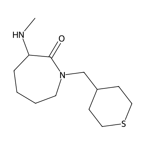 CNC1CCCCN(CC2CCSCC2)C1=O